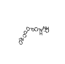 N=C[C@H](Cc1ccccc1)NCc1ccc(OCc2cccc(COC3=CC[C@@H](CN4CCc5ccccc54)C=C3)c2)cc1